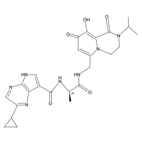 CC(C)N1CCn2c(CNC(=O)[C@@H](C)NC(=O)c3c[nH]c4ncc(C5CC5)nc34)cc(=O)c(O)c2C1=O